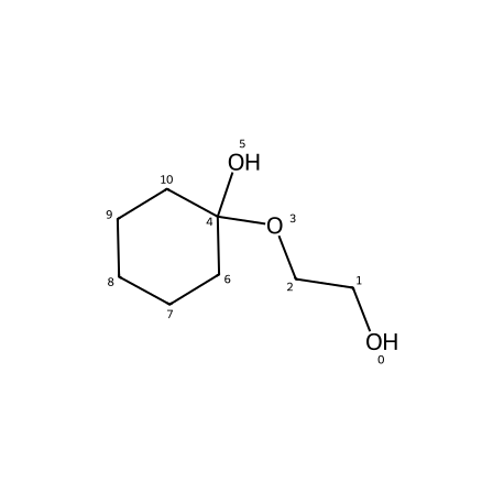 OCCOC1(O)CCCCC1